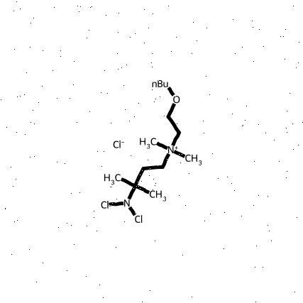 CCCCOCC[N+](C)(C)CCC(C)(C)N(Cl)Cl.[Cl-]